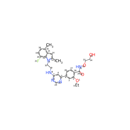 CCOc1cc(-c2cc(NCCn3c(C)cc4c(C)ccc(F)c43)ncn2)ccc1C(=O)NOCCO